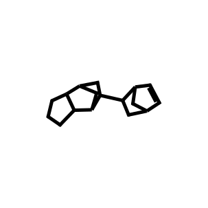 C1=CC2CC1CC2C1CC2CC1C1CCCC21